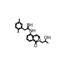 B=C(Cc1cc(C)ccc1C)Nc1cccc2c(=O)n(CC(C)O)ccc12